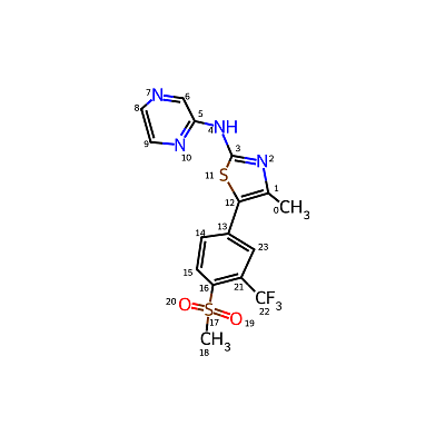 Cc1nc(Nc2cnccn2)sc1-c1ccc(S(C)(=O)=O)c(C(F)(F)F)c1